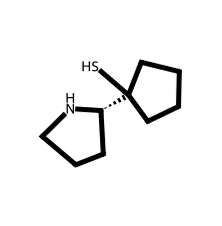 SC1([C@@H]2CCCN2)CCCC1